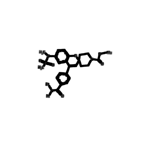 CCN(CC)C(=O)c1ccc(C2=CC3(CCN(C(=O)OC(C)(C)C)CC3)Oc3ccc(N(C)S(C)(=O)=O)cc32)cc1